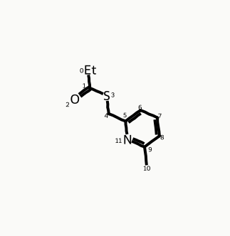 CCC(=O)SCc1cccc(C)n1